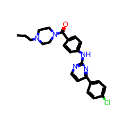 CCCN1CCN(C(=O)c2ccc(Nc3nccc(-c4ccc(Cl)cc4)n3)cc2)CC1